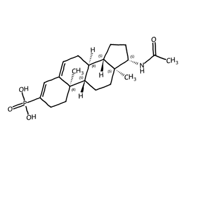 CC(=O)N[C@H]1CC[C@H]2[C@@H]3CC=C4C=C(P(=O)(O)O)CC[C@]4(C)[C@H]3CC[C@]12C